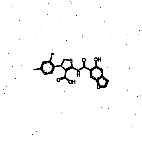 Cc1ccc(C2CSC(NC(=O)c3cc4occc4cc3O)=C2C(=O)O)c(F)c1